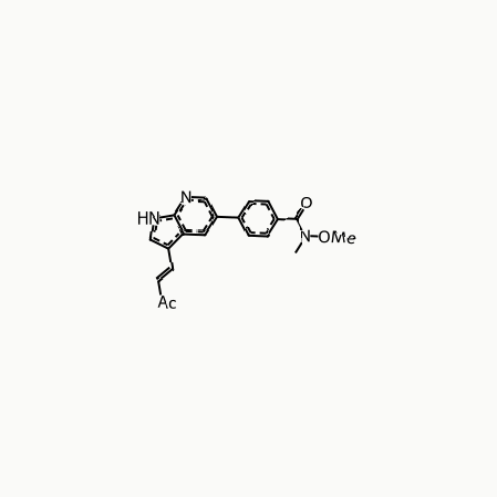 CON(C)C(=O)c1ccc(-c2cnc3[nH]cc(/C=C/C(C)=O)c3c2)cc1